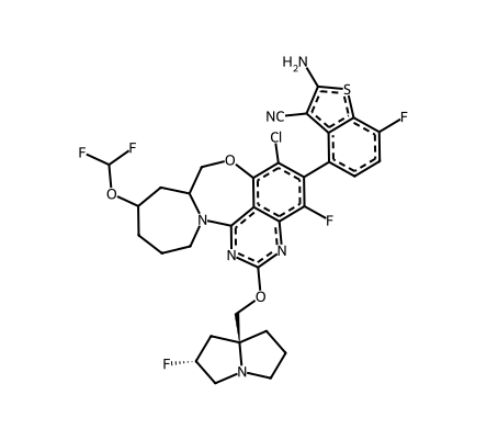 N#Cc1c(N)sc2c(F)ccc(-c3c(Cl)c4c5c(nc(OC[C@@]67CCCN6C[C@H](F)C7)nc5c3F)N3CCCC(OC(F)F)CC3CO4)c12